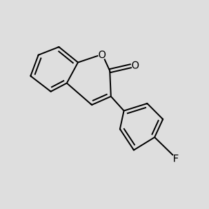 O=c1oc2ccccc2cc1-c1ccc(F)cc1